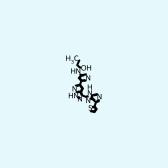 CCCC(O)Nc1cncc(-c2cnc3[nH]nc(-c4nc5c(-c6cccs6)cncc5[nH]4)c3c2)c1